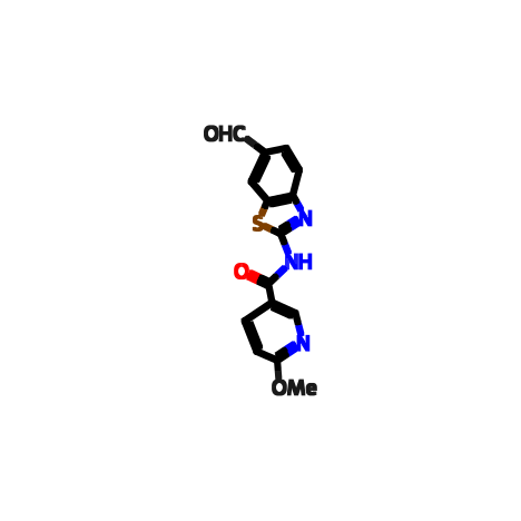 COc1ccc(C(=O)Nc2nc3ccc(C=O)cc3s2)cn1